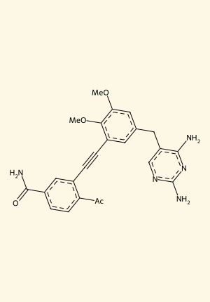 COc1cc(Cc2cnc(N)nc2N)cc(C#Cc2cc(C(N)=O)ccc2C(C)=O)c1OC